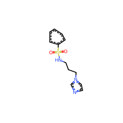 O=S(=O)(NCCCn1ccnc1)c1cc[c]cc1